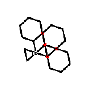 C1CC[CH]([Pd]23([CH]4CCCCC4)([CH]4CCCCC4)([CH2][CH2]2)[CH2][CH2]3)CC1